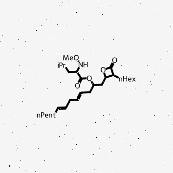 CCCCC/C=C/C/C=C/CC(CC1OC(=O)C1CCCCCC)OC(=O)C(CC(C)C)NOC